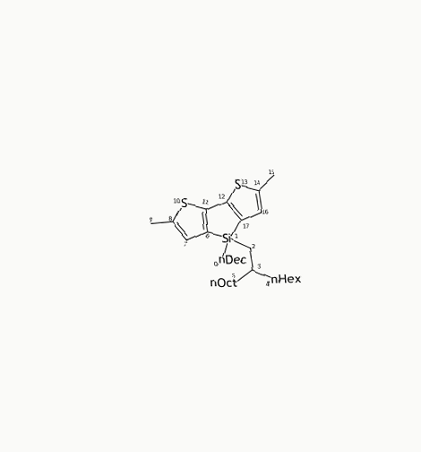 CCCCCCCCCC[Si]1(CC(CCCCCC)CCCCCCCC)c2cc(C)sc2-c2sc(C)cc21